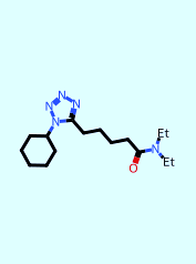 CCN(CC)C(=O)CCCCc1nnnn1C1CCCCC1